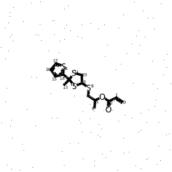 C=CC(=O)OC(C)CSC1CSC(C)(c2cccs2)S1